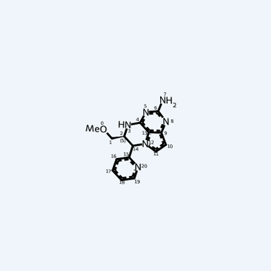 COC[C@H]1Nc2nc(N)nc3ccn(c23)C1c1ccccn1